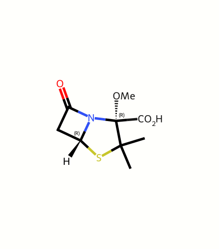 CO[C@@]1(C(=O)O)N2C(=O)C[C@H]2SC1(C)C